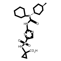 C[C@H]1CC[C@H](N(C(=O)Nc2ncc(S(=O)(=O)NC3(C(=O)O)CC3)s2)C2CCCCC2)CC1